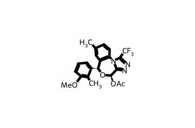 COc1cccc([C@H]2O[C@H](OC(C)=O)c3nnc(C(F)(F)F)n3-c3ccc(C)cc32)c1C